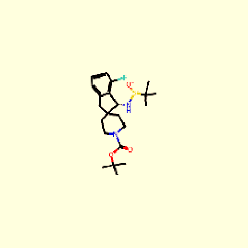 CC(C)(C)OC(=O)N1CCC2(CC1)Cc1cccc(F)c1[C@@H]2N[S+]([O-])C(C)(C)C